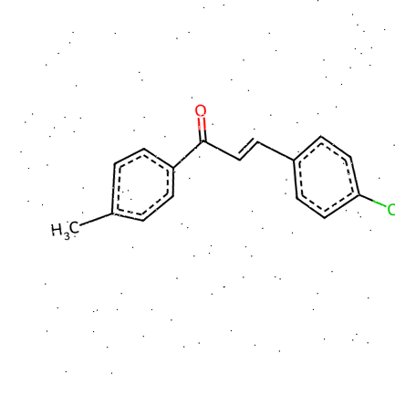 Cc1ccc(C(=O)C=Cc2ccc(Cl)cc2)cc1